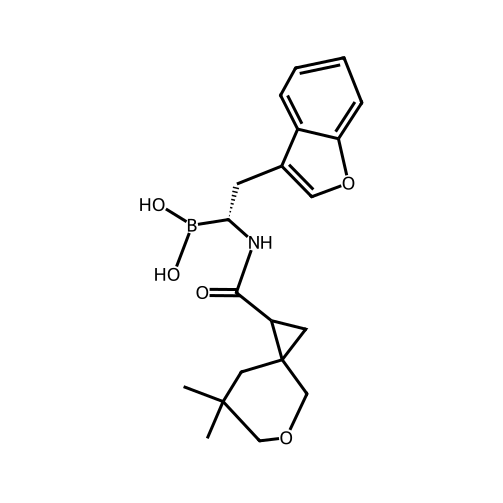 CC1(C)COCC2(CC2C(=O)N[C@@H](Cc2coc3ccccc23)B(O)O)C1